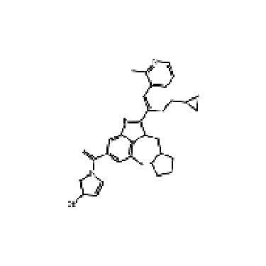 C=C(c1cc(C)c2c(c1)N=C(/C(=C/c1cccnc1C)CCC1CC1)C2CC1CCCC1)N1C=CC(CC)C1